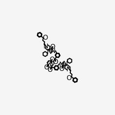 O=C(/C=C\C(=O)OC(=O)c1cccc(CN2CN(C3CCCCC3)C3(CCN(CCCC(=O)c4ccccc4)CC3)C2=O)c1)OC(=O)c1cccc(CN2CN(C3CCCCC3)C3(CCN(CCCC(=O)c4ccccc4)CC3)C2=O)c1